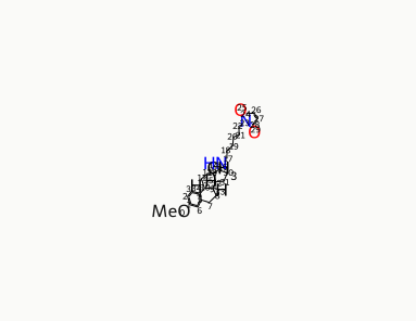 COc1ccc2c(c1)CC[C@@H]1[C@@H]2CC[C@]2(C)[C@@H](NCCCCCCN3C(=O)C=CC3=O)CC[C@@H]12